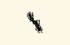 CCC(F)C(=O)OC1CCC(c2ccc(C3CCC(OC(=O)C(F)CC)CC3)c(Cl)c2)CC1